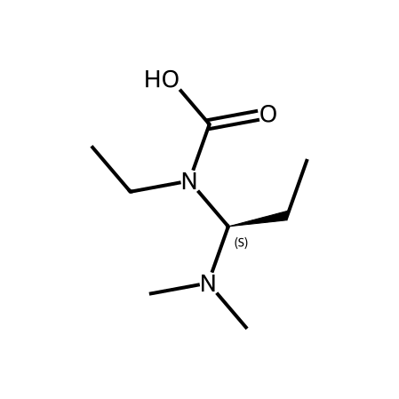 CC[C@@H](N(C)C)N(CC)C(=O)O